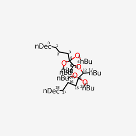 CCCCCCCCCCCCCC(OCCCC)(OCCCC)C(CCCC)OC(CCCC)C(CCCCCCCCCCCCC)(OCCCC)OCCCC